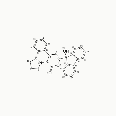 O=COC(C[C@@H](CN1CCCC1)c1cccnc1)C1(O)c2ccccc2-c2ccccc21